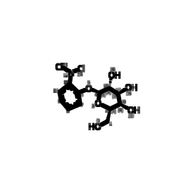 OC[C@H]1O[C@@H](Oc2ccccc2N(Cl)Cl)[C@H](O)[C@@H](O)[C@H]1O